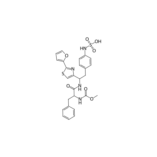 COC(=O)NC(Cc1ccccc1)C(=O)NC(Cc1ccc(NS(=O)(=O)O)cc1)c1csc(-c2ccco2)n1